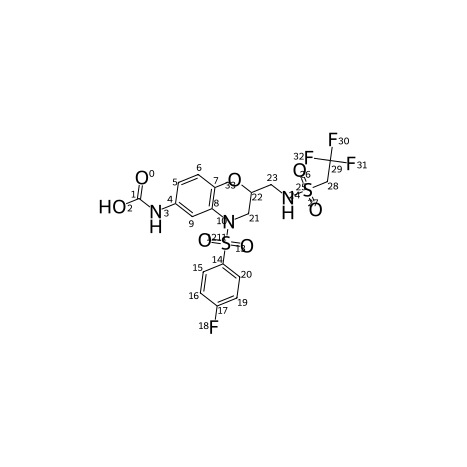 O=C(O)Nc1ccc2c(c1)N(S(=O)(=O)c1ccc(F)cc1)CC(CNS(=O)(=O)CC(F)(F)F)O2